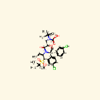 CCC(CS(=O)(=O)C(C)(C)C)N1C(=O)[C@@H](CN(C(=O)O)C(C)(C)C)O[C@H](c2cccc(Cl)c2)[C@H]1c1ccc(Cl)cc1